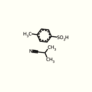 CC(C)C#N.Cc1ccc(S(=O)(=O)O)cc1